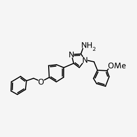 COc1ccccc1Cn1cc(-c2ccc(OCc3ccccc3)cc2)nc1N